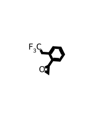 FC(F)(F)Cc1ccccc1C1CO1